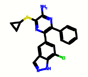 Nc1nc(-c2ccccc2)c(-c2cc(Cl)c3[nH]ncc3c2)nc1SC1CC1